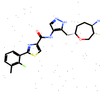 Cc1cccc(-c2nc(C(=O)Nc3cn[nH]c3C[C@@H]3CC[C@@H](N)[C@H](F)CO3)cs2)c1F